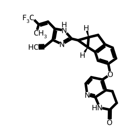 C#Cc1nc(C2[C@H]3c4cc(Oc5ccnc6c5CCC(=O)N6)ccc4C[C@@H]23)[nH]c1/C=C(\C)C(F)(F)F